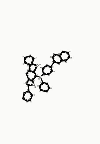 c1ccc(-c2nc3cc4c(oc5ccccc54)c(N(c4ccccc4)c4ccc(-c5ccc6ccccc6c5)cc4)c3o2)cc1